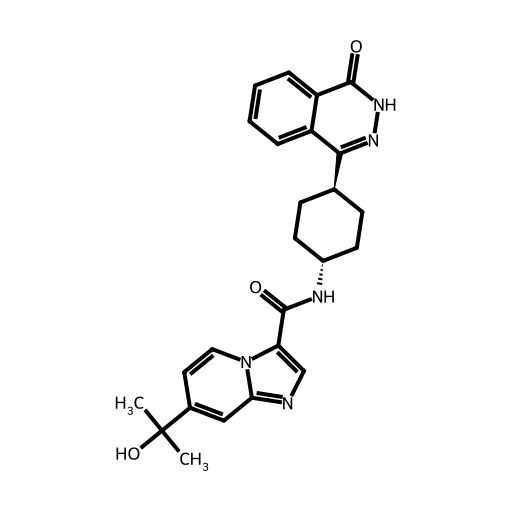 CC(C)(O)c1ccn2c(C(=O)N[C@H]3CC[C@H](c4n[nH]c(=O)c5ccccc54)CC3)cnc2c1